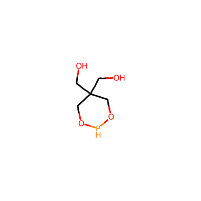 OCC1(CO)COPOC1